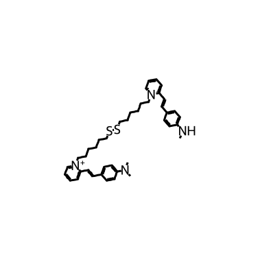 CNc1ccc(/C=C/c2cccc[n+]2CCCCCCSSCCCCCC[n+]2ccccc2/C=C/c2ccc(N(C)C)cc2)cc1